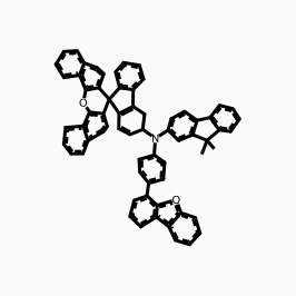 CC1(C)c2ccccc2-c2ccc(N(c3ccc(-c4cccc5c4oc4ccccc45)cc3)C3C=CC4=C(C3)c3ccccc3C43c4ccc5ccccc5c4Oc4c3ccc3ccccc43)cc21